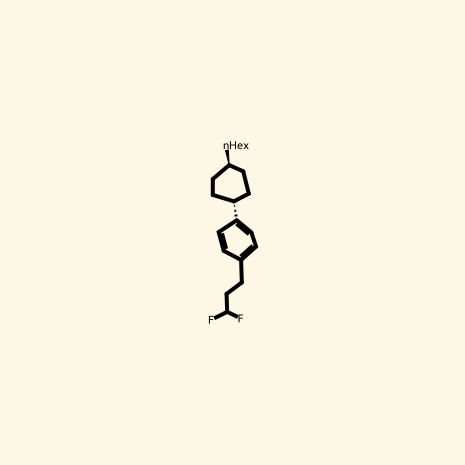 CCCCCC[C@H]1CC[C@H](c2ccc(CCC(F)F)cc2)CC1